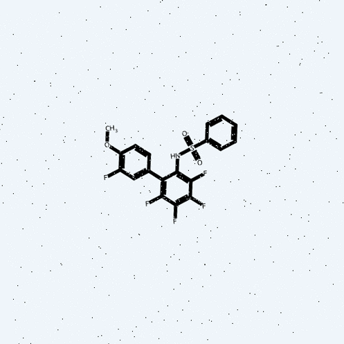 COc1ccc(-c2c(F)c(F)c(F)c(F)c2NS(=O)(=O)c2ccccc2)cc1F